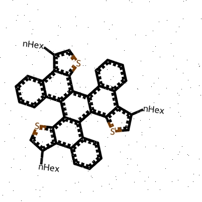 CCCCCCc1csc2c1c1ccccc1c1c2c2c3ccccc3c3c(CCCCCC)csc3c2c2c3ccccc3c3c(CCCCCC)csc3c12